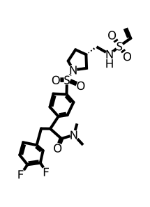 C=CS(=O)(=O)NC[C@H]1CCN(S(=O)(=O)c2ccc(C(Cc3ccc(F)c(F)c3)C(=O)N(C)C)cc2)C1